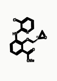 COC(=O)c1cccc(Nc2ncccc2Cl)c1OC[C@@H]1CO1